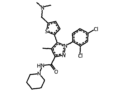 Cc1c(C(=O)NN2CCCCC2)nn(-c2ccc(Cl)cc2Cl)c1-c1ccc(CN(C)C)s1